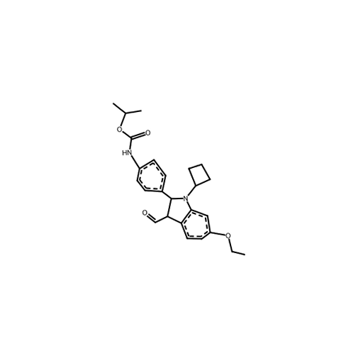 CCOc1ccc2c(c1)N(C1CCC1)C(c1ccc(NC(=O)OC(C)C)cc1)C2C=O